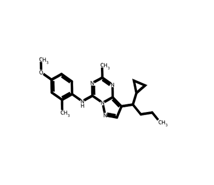 CCCC(c1cnn2c(Nc3ccc(OC)cc3C)nc(C)nc12)C1CC1